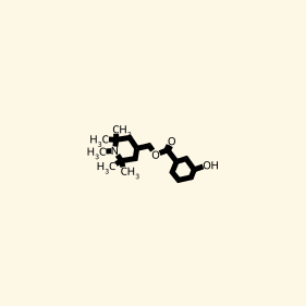 CN1C(C)(C)CC(COC(=O)C2CCCC(O)C2)CC1(C)C